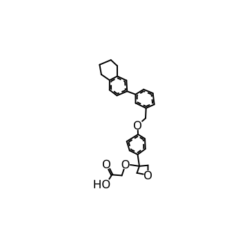 O=C(O)COC1(c2ccc(OCc3cccc(-c4ccc5c(c4)CCCC5)c3)cc2)COC1